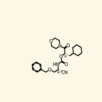 N#C[C@H](COCc1ccccc1)NC(=O)O[C@@H](CC1CCCCC1)C(=O)N1CCOCC1